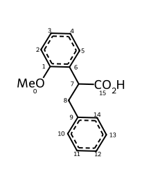 COc1ccccc1C(Cc1ccccc1)C(=O)O